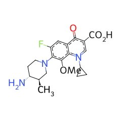 COc1c(N2CC[C@@H](N)[C@H](C)C2)c(F)cc2c(=O)c(C(=O)O)cn(C3CC3)c12